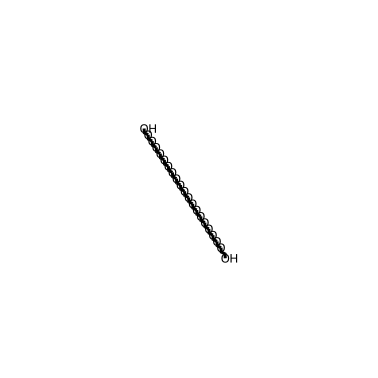 OCCOCOCOCOCOCOCOCOCOCOCOCOCOCOCOCOCOCOCOCO